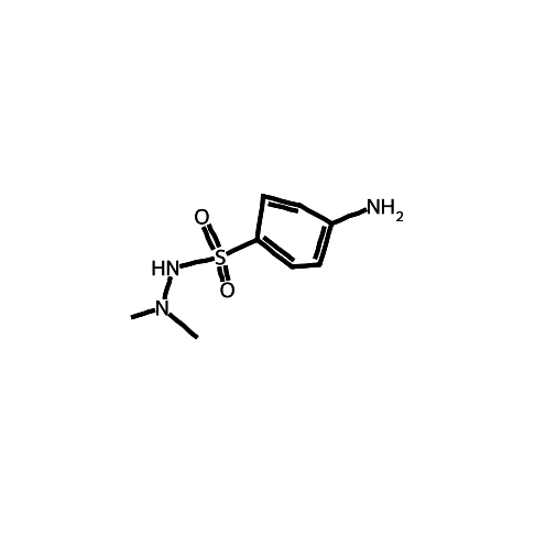 CN(C)NS(=O)(=O)c1ccc(N)cc1